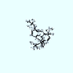 [2H]OC1([2H])C=C[C@]2([2H])[C@@]34CCN(C([2H])([2H])[2H])[C@]2([2H])Cc2ccc(OC([2H])([2H])[2H])c(c23)OC14